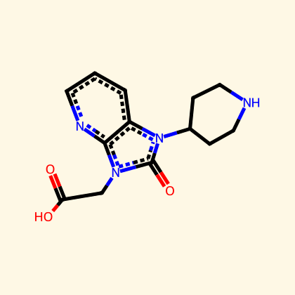 O=C(O)Cn1c(=O)n(C2CCNCC2)c2cccnc21